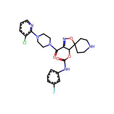 O=C(Nc1cccc(F)c1)OC1C(C(=O)N2CCN(c3ncccc3Cl)CC2)=NOC12CCNCC2